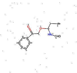 CC(C)CC(NC=O)OCC(=O)c1ccccc1